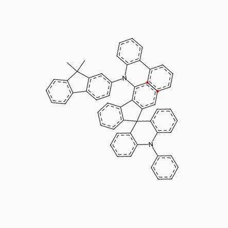 CC1(C)c2ccccc2-c2ccc(N(c3ccccc3-c3ccccc3)c3cccc4c3-c3ccccc3C43c4ccccc4N(c4ccccc4)c4ccccc43)cc21